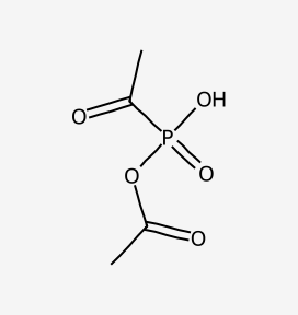 CC(=O)OP(=O)(O)C(C)=O